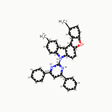 Cc1ccc2oc3ccc4c(c5cc(C)ccc5n4-c4nc(-c5ccccc5)cc(-c5ccccc5)n4)c3c2c1